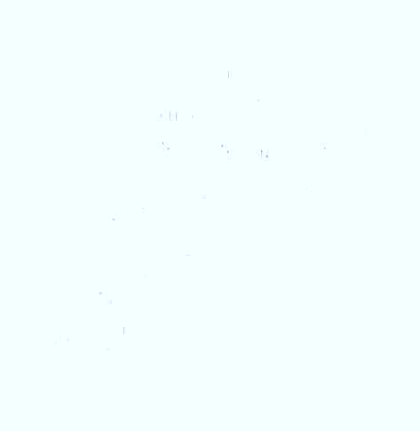 CCC(C)OP(=O)(O)Oc1ccc(CN(C)C(=O)N(N(CCCl)S(C)(=O)=O)S(C)(=O)=O)cc1